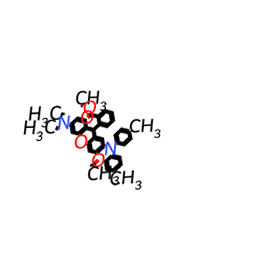 CCOC(=O)c1ccccc1C1c2ccc(N(CC)CC)cc2Oc2cc(OCC)c(N(c3ccc(C)cc3)c3ccc(C)cc3)cc21